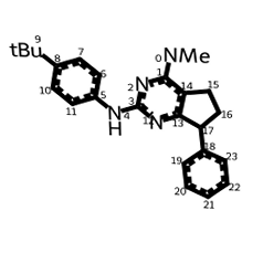 CNc1nc(Nc2ccc(C(C)(C)C)cc2)nc2c1CCC2c1ccccc1